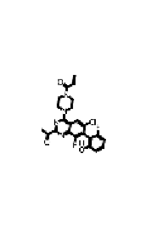 C=CC(=O)N1CCN(c2nc(C(C)=O)nc3c(F)c(-c4c(O)cccc4F)c(Cl)cc23)CC1